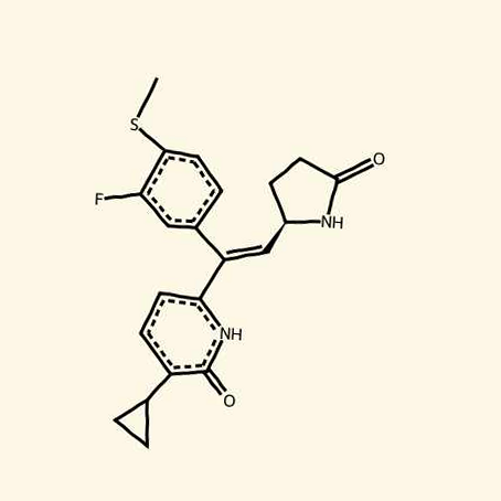 CSc1ccc(/C(=C\[C@H]2CCC(=O)N2)c2ccc(C3CC3)c(=O)[nH]2)cc1F